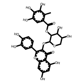 Cc1c(C(=O)OC2C(Oc3c(-c4ccc(O)c(O)c4)oc4cc(O)cc(O)c4c3=O)OCC(O)C2O)cc(O)c(O)c1O